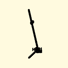 CCCCCCCCCCCCCC=CC=CC(=O)OCCCCCCCCCCCCCCCCCCCCCCCCCCCCCCCCCC(=O)N[C@H](CO)[C@H](O)C(O)CCCCCCCCCCCCCC